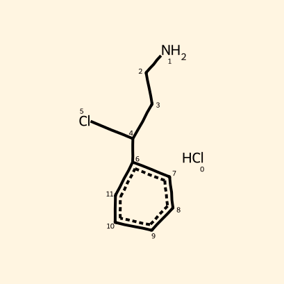 Cl.NCCC(Cl)c1ccccc1